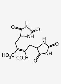 O=C1NC(=O)C(CC(C(=O)O)=C(CC2NC(=O)NC2=O)C(=O)O)N1